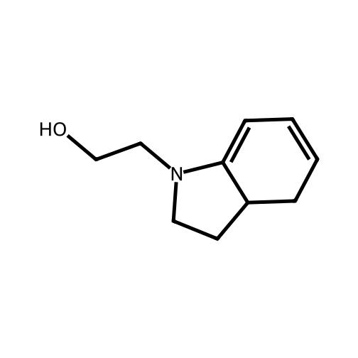 OCCN1CCC2CC=CC=C21